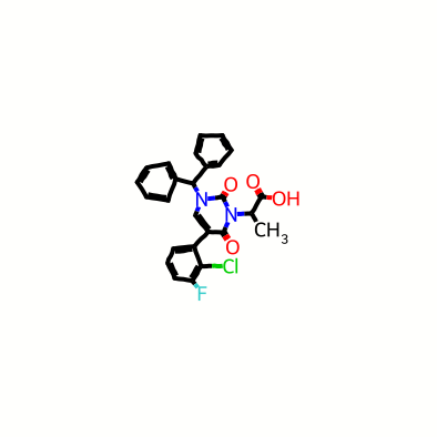 CC(C(=O)O)n1c(=O)c(-c2cccc(F)c2Cl)cn(C(c2ccccc2)c2ccccc2)c1=O